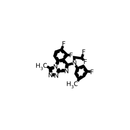 Cc1cc(F)cc(N(CC(F)F)c2nc3nnc(C)n3c3ccc(F)c(F)c23)c1